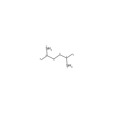 CC([SiH3])CCC(C)[SiH3]